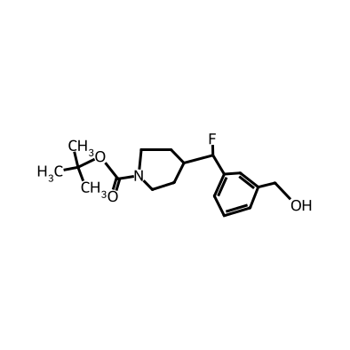 CC(C)(C)OC(=O)N1CCC(C(F)c2cccc(CO)c2)CC1